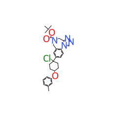 Cc1cccc(OC2CCC(Cl)(c3ccc4c(c3)CN(C(=O)OC(C)(C)C)Cc3nncn3-4)CC2)c1